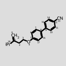 C=C(CCOc1ccc(-c2ccc(C#N)cc2)cc1)C(C)C